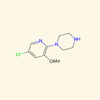 COc1cc(Cl)cnc1N1CCNCC1